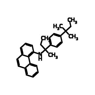 CCC(C)(C)c1ccc(C(C)(CC)Nc2cccc3ccc4ccccc4c23)cc1